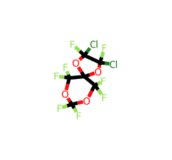 FC1(F)OC(F)(F)C2(OC(F)(Cl)C(F)(Cl)O2)C(F)(F)O1